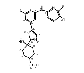 Cc1cc(Nc2ncc(Cl)c(C)n2)cc(-c2cnc([C@]3(O)CC[C@@H](C(=O)O)CC3)s2)c1